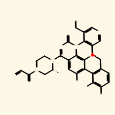 C=CC(=O)N1CCN(c2nc(=O)n(-c3c(CC)cncc3CC)c3c4c(c(Cl)cc23)-c2c(ccc(F)c2F)CO4)[C@@H](C)C1